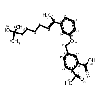 CC(=CCCCCC(C)(C)O)c1cccc(OCc2ccc(C(=O)O)c(C(=O)O)c2)c1